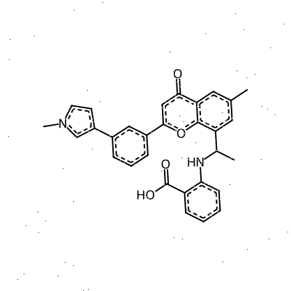 Cc1cc(C(C)Nc2ccccc2C(=O)O)c2oc(-c3cccc(-c4ccn(C)c4)c3)cc(=O)c2c1